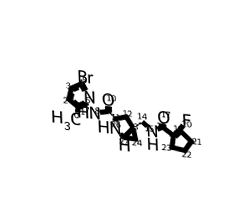 Cc1ccc(Br)nc1NC(=O)[C@@H]1C[C@@]2(CNC(=O)C3=C(F)CCC3)C[C@H]2N1